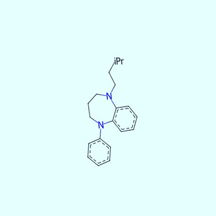 CC(C)CCN1CCCN(c2ccccc2)c2ccccc21